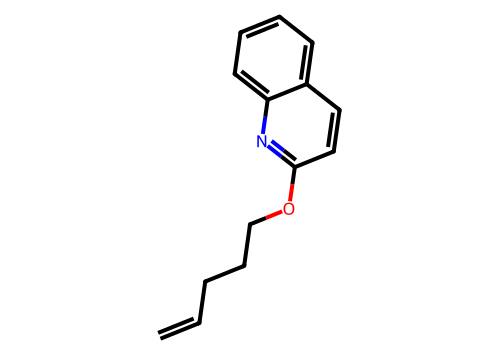 C=CCCCOc1ccc2ccccc2n1